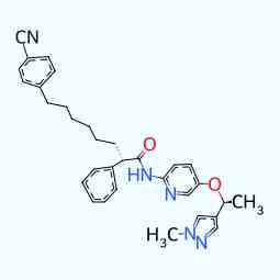 C[C@H](Oc1ccc(NC(=O)[C@@H](CCCCCCc2ccc(C#N)cc2)c2ccccc2)nc1)c1cnn(C)c1